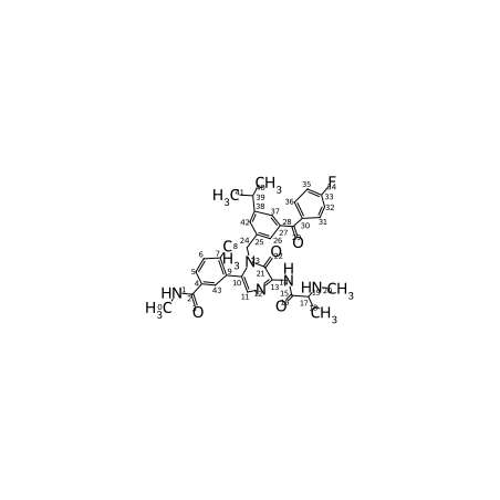 CNC(=O)c1ccc(C)c(-c2cnc(NC(=O)C(C)NC)c(=O)n2Cc2cc(C(=O)c3ccc(F)cc3)cc(C(C)C)c2)c1